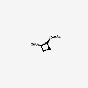 CC(=O)OC1CCC1C=O